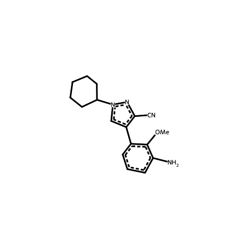 COc1c(N)cccc1-c1cn(C2CCCCC2)nc1C#N